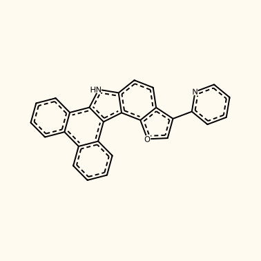 c1ccc(-c2coc3c2ccc2[nH]c4c5ccccc5c5ccccc5c4c23)nc1